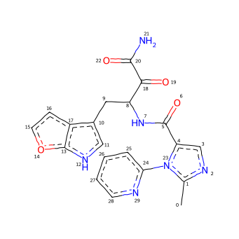 Cc1ncc(C(=O)NC(Cc2c[nH]c3occc23)C(=O)C(N)=O)n1-c1ccccn1